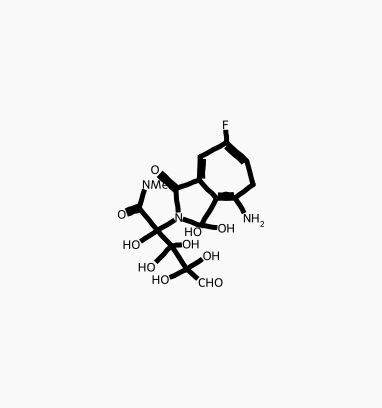 CNC(=O)C(O)(N1C(=O)C2=CC(F)=CCC(N)=C2C1(O)O)C(O)(O)C(O)(O)C=O